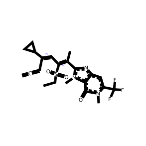 C=C=C/C(=C\C(=C(/C)c1nc2cc(C(F)(F)F)n(C)c(=O)c2n1C)S(=O)(=O)CC)C1CC1